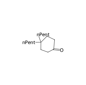 CCCCCC1(CCCCC)CCC(=O)CC1